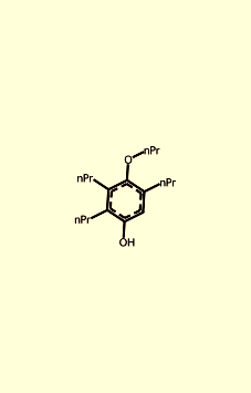 CCCOc1c(CCC)cc(O)c(CCC)c1CCC